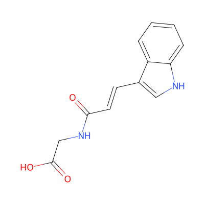 O=C(O)CNC(=O)/C=C/c1c[nH]c2ccccc12